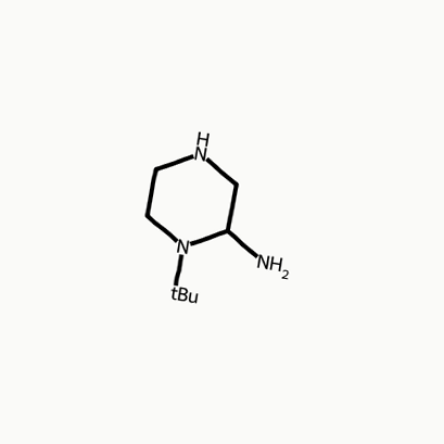 CC(C)(C)N1CCNCC1N